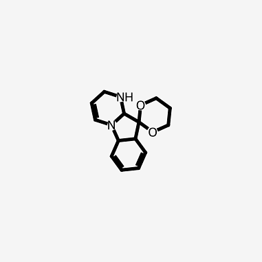 C1=CC2C(C=C1)C1(OCCCO1)C1NCC=CN21